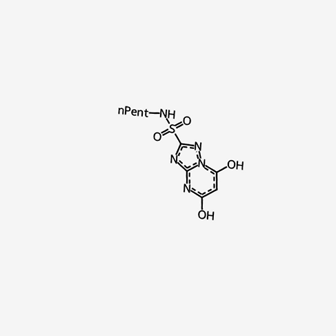 CCCCCNS(=O)(=O)c1nc2nc(O)cc(O)n2n1